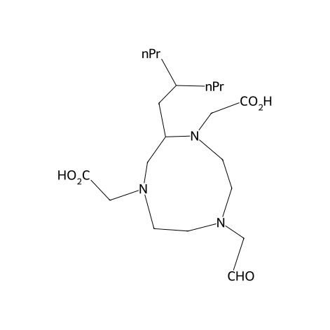 CCCC(CCC)CC1CN(CC(=O)O)CCN(CC=O)CCN1CC(=O)O